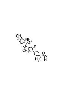 COc1nc(N)c2c(n1)CC(C)N(c1ccc(C3CCC(C(C)C(=O)O)CC3)c(F)c1)C2=O